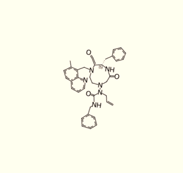 C=CCN(C(=O)NCc1ccccc1)N1CCN(Cc2c(C)ccc3cccnc23)C(=C=O)[C@H](Cc2ccccc2)NC(=O)C1